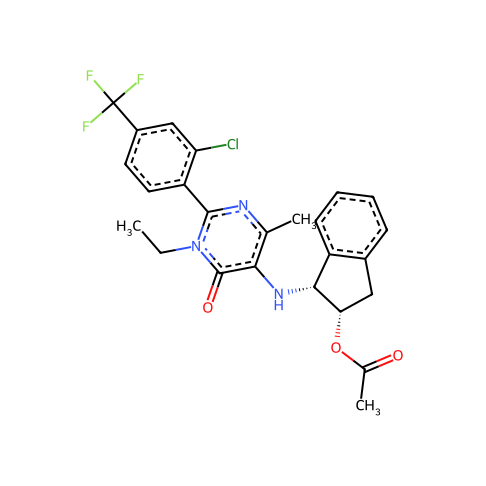 CCn1c(-c2ccc(C(F)(F)F)cc2Cl)nc(C)c(N[C@@H]2c3ccccc3C[C@@H]2OC(C)=O)c1=O